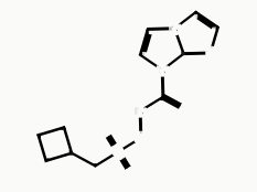 O=C(NOS(=O)(=O)CC1CCC1)N1C=CN2C=CSC21